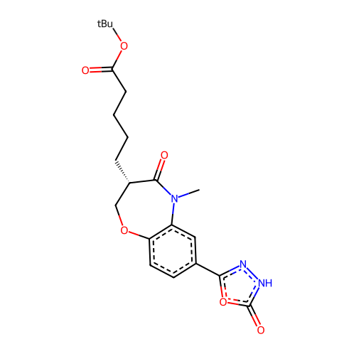 CN1C(=O)[C@@H](CCCCC(=O)OC(C)(C)C)COc2ccc(-c3n[nH]c(=O)o3)cc21